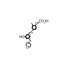 CCOC(=O)COc1ccc(SCc2cc(O)cc(CN3CCOCC3)c2)cc1C